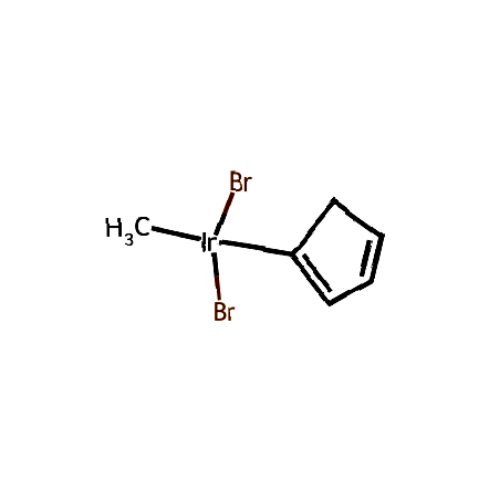 [CH3][Ir]([Br])([Br])[C]1=CC=CC1